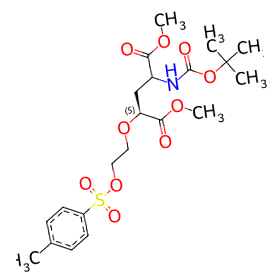 COC(=O)C(C[C@H](OCCOS(=O)(=O)c1ccc(C)cc1)C(=O)OC)NC(=O)OC(C)(C)C